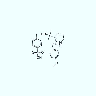 COc1ccc(C[C@H]2NCCC[C@H]2C(C)(C)O)cc1.Cc1ccc(S(=O)(=O)O)cc1